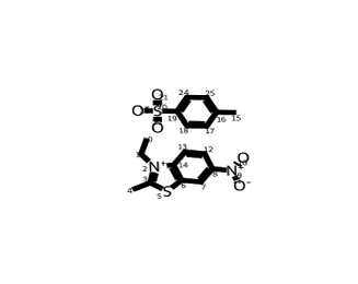 CC[n+]1c(C)sc2cc([N+](=O)[O-])ccc21.Cc1ccc(S(=O)(=O)[O-])cc1